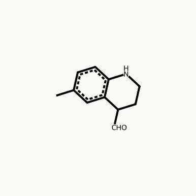 Cc1ccc2c(c1)C(C=O)CCN2